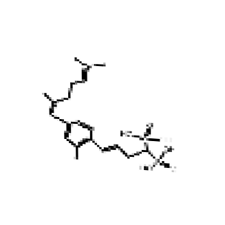 CC(C)=CCCC(C)=Cc1ccc(C=CCC(P(=O)(O)O)P(=O)(O)O)c(C)c1